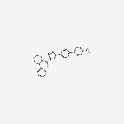 COc1ccc(-c2ccc(-c3cn(C(=O)N4CCCCC4c4ccccc4)nn3)cc2)cc1